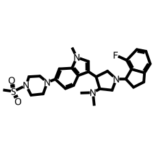 CN(C)C1CN(C2CCc3cccc(F)c32)CC1c1cn(C)c2cc(N3CCN(S(C)(=O)=O)CC3)ccc12